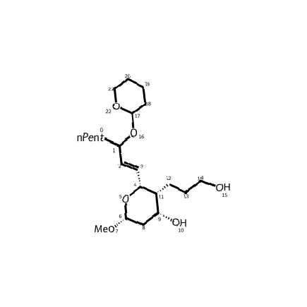 CCCCCC(C=C[C@H]1O[C@@H](OC)C[C@@H](O)[C@H]1CCCO)OC1CCCCO1